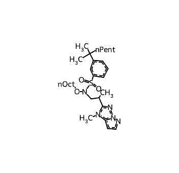 CCCCCCCCON(CC(C)c1nn2nccc2n1C)S(=O)(=O)c1cccc(C(C)(C)CCCCC)c1